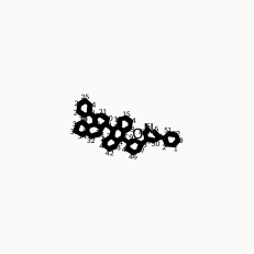 c1ccc(-c2cnc3oc4c(-c5c6ccccc6c(-c6ccc(-c7ccccc7)c7c6ccc6ccccc67)c6ccccc56)cccc4c3c2)cc1